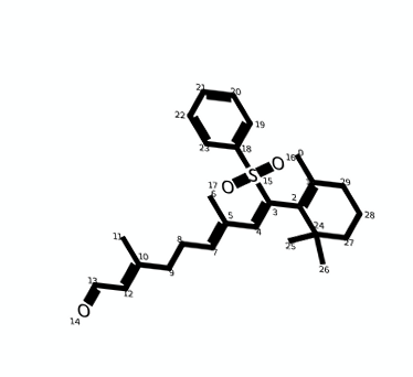 CC1=C(/C(=C/C(C)=C/CC/C(C)=C/C=O)S(=O)(=O)c2ccccc2)C(C)(C)CCC1